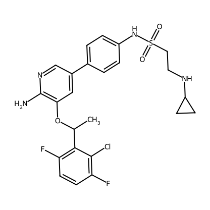 CC(Oc1cc(-c2ccc(NS(=O)(=O)CCNC3CC3)cc2)cnc1N)c1c(F)ccc(F)c1Cl